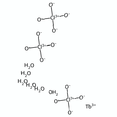 O.O.O.O.O.O.[O-][Cl+3]([O-])([O-])[O-].[O-][Cl+3]([O-])([O-])[O-].[O-][Cl+3]([O-])([O-])[O-].[Tb+3]